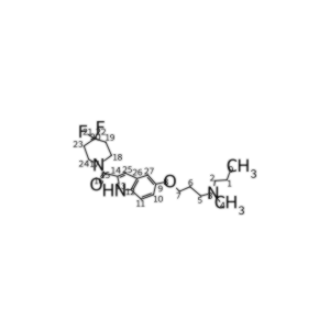 CCCN(C)CCCOc1ccc2[nH]c(C(=O)N3CCC(F)(F)CC3)cc2c1